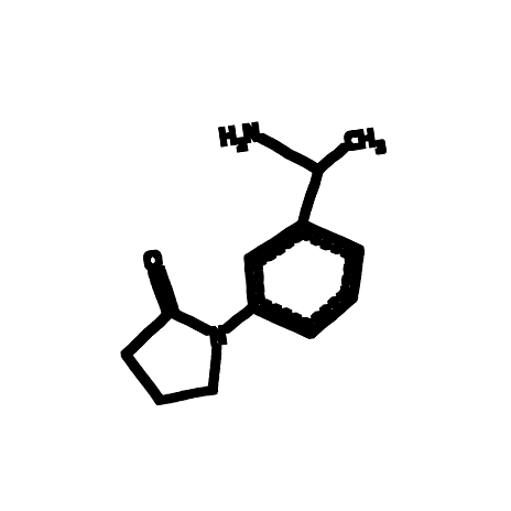 CC(N)c1cccc(N2CCCC2=O)c1